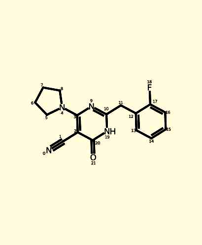 N#Cc1c(N2CCCC2)nc(Cc2ccccc2F)[nH]c1=O